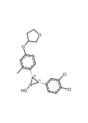 Cc1cc(OC2CCOC2)ncc1[C@@H]1[C@H](c2ccc(Cl)c(Cl)c2)N1O